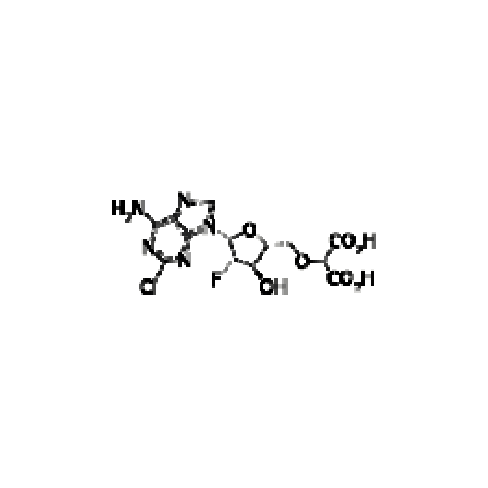 Nc1nc(Cl)nc2c1ncn2[C@@H]1O[C@H](COC(C(=O)O)C(=O)O)[C@@H](O)[C@@H]1F